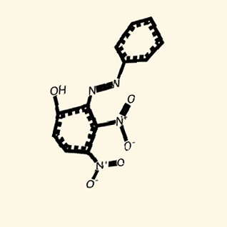 O=[N+]([O-])c1ccc(O)c(N=Nc2ccccc2)c1[N+](=O)[O-]